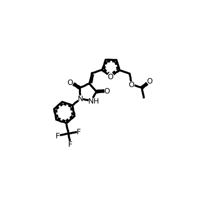 CC(=O)OCc1ccc(/C=C2\C(=O)NN(c3cccc(C(F)(F)F)c3)C2=O)o1